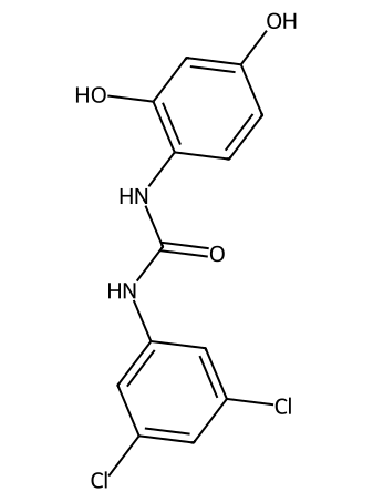 O=C(Nc1cc(Cl)cc(Cl)c1)Nc1ccc(O)cc1O